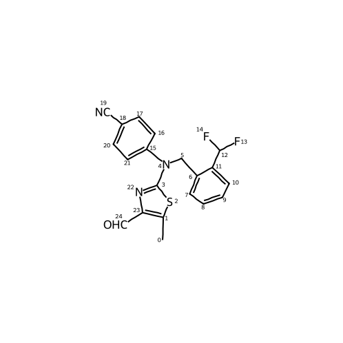 Cc1sc(N(Cc2ccccc2C(F)F)c2ccc(C#N)cc2)nc1C=O